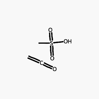 C=C=O.CS(=O)(=O)O